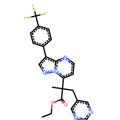 CCOC(=O)C(C)(Cc1cncnc1)c1ccnc2c(-c3ccc(C(F)(F)F)cc3)cnn12